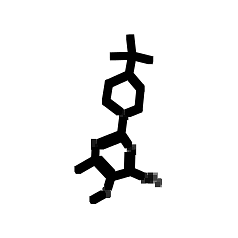 CSc1c(C)nc(N2CCC(C(C)(C)C)CC2)nc1N